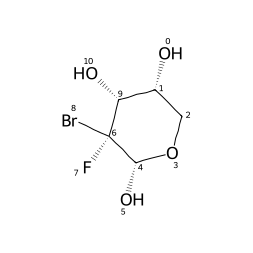 O[C@@H]1CO[C@H](O)[C@@](F)(Br)[C@@H]1O